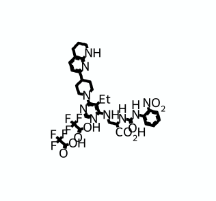 CCc1c(NCC(NC(=O)Nc2ccccc2[N+](=O)[O-])C(=O)O)ncnc1N1CCC(c2ccc3c(n2)NCCC3)CC1.O=C(O)C(F)(F)F.O=C(O)C(F)(F)F